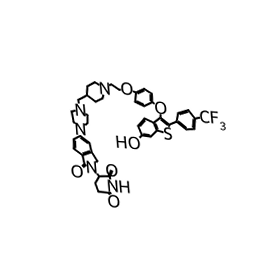 O=C1CCC(N2Cc3cc(N4CCN(CC5CCN(CCOc6ccc(Oc7c(-c8ccc(C(F)(F)F)cc8)sc8cc(O)ccc78)cc6)CC5)CC4)ccc3C2=O)C(=O)N1